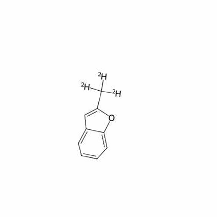 [2H]C([2H])([2H])c1cc2ccccc2o1